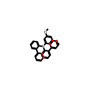 COc1cc(OC)cc(N(c2ccccc2-c2ccccc2)c2ccccc2-c2ccccc2)c1